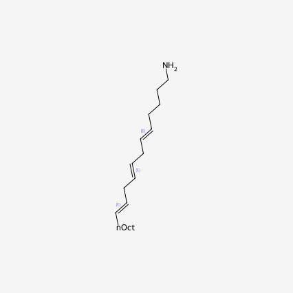 CCCCCCCC/C=C/C/C=C/C/C=C/CCCCN